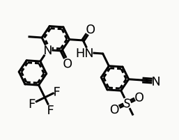 Cc1ccc(C(=O)NCc2ccc(S(C)(=O)=O)c(C#N)c2)c(=O)n1-c1cccc(C(F)(F)F)c1